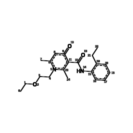 CCOCCn1c(C)cc(=O)c(C(=O)Nc2ccccc2CC)c1C